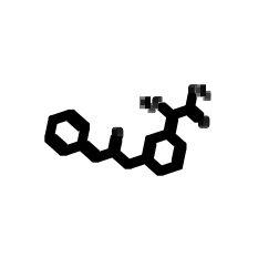 CC(=O)/C(C)=C1\C=CCC(CC(=O)C=C2C=CCC=C2)=C1